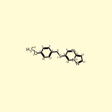 COc1ccc(CSc2cnc3ccnn3c2)cc1